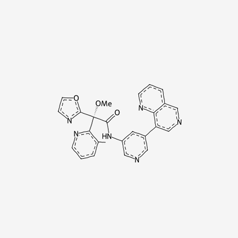 CO[C@@](C(=O)Nc1cncc(-c2cncc3cccnc23)c1)(c1ncco1)c1ncccc1C